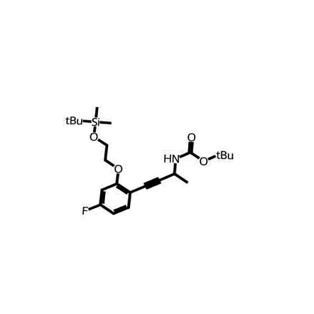 CC(C#Cc1ccc(F)cc1OCCO[Si](C)(C)C(C)(C)C)NC(=O)OC(C)(C)C